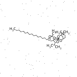 CCCCCCCCCCCCCCCCOCC(OC(C)=O)C(OP1(=O)OC2CC[N+](C)(C)C(C2)O1)C(C)C